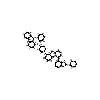 c1ccc(-c2nc3cccc(-c4cccc5c4-c4cccc(-c6ccc(N(c7ccccc7)c7cccc8c7Cc7ccccc7-8)cc6)c4C5)c3o2)cc1